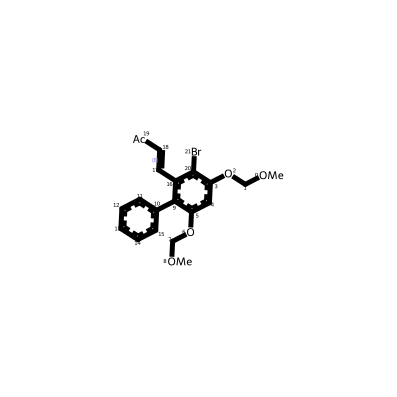 COCOc1cc(OCOC)c(-c2ccccc2)c(/C=C/C(C)=O)c1Br